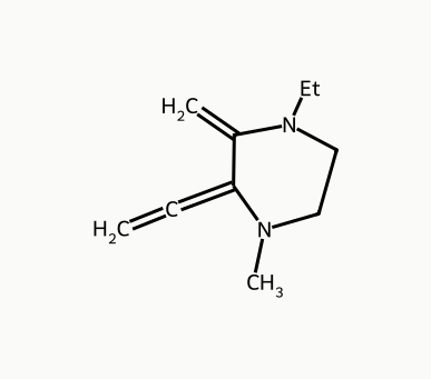 C=C=C1C(=C)N(CC)CCN1C